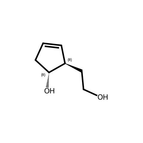 OCC[C@@H]1C=CC[C@H]1O